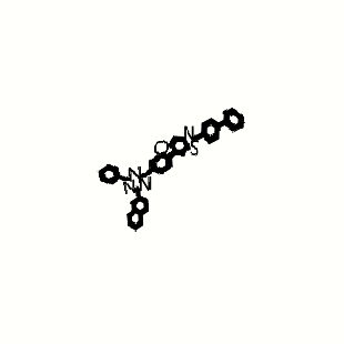 c1ccc(-c2ccc(-c3nc4cc5oc6cc(-c7nc(-c8ccccc8)nc(-c8ccc9ccccc9c8)n7)ccc6c5cc4s3)cc2)cc1